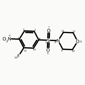 O=[N+]([O-])c1ccc(S(=O)(=O)N2CCOCC2)cc1F